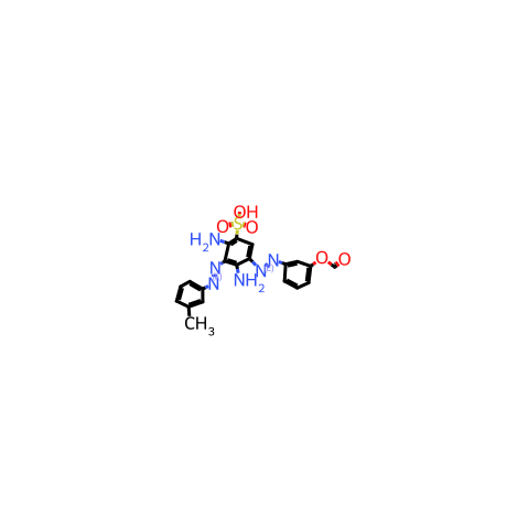 Cc1cccc(/N=N/c2c(N)c(/N=N/c3cccc(OC=O)c3)cc(S(=O)(=O)O)c2N)c1